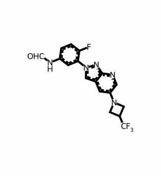 O=CNc1ccc(F)c(-n2cc3cc(N4CC(C(F)(F)F)C4)cnc3n2)c1